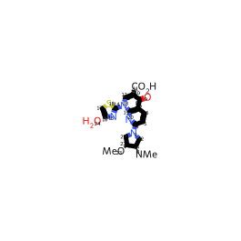 CN[C@H]1CN(c2ccc3c(=O)c(C(=O)O)cn(-c4nccs4)c3n2)C[C@@H]1OC.O